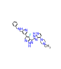 CN1CCN(c2ccnc3[nH]c(-c4n[nH]c5ncc(-c6cncc(CNCc7ccccc7)c6)c(F)c45)nc23)CC1